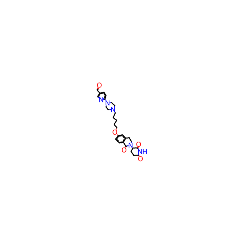 O=Cc1ccc(N2CCN(CCCCCOc3ccc4c(c3)CCN(C3CCC(=O)NC3=O)C4=O)CC2)nc1